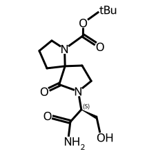 CC(C)(C)OC(=O)N1CCCC12CCN([C@@H](CO)C(N)=O)C2=O